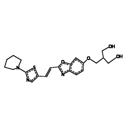 OCC(CO)COc1ccc2nc(/C=C/c3cnc(N4CCCCC4)s3)oc2c1